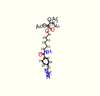 CC(=O)OC1[C@H](C)C(C)O[C@H](OCCCCCCNC(=O)c2ccc(CN=[N+]=[N-])cc2)[C@@H]1OC(C)=O